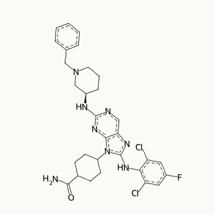 NC(=O)C1CCC(n2c(Nc3c(Cl)cc(F)cc3Cl)nc3cnc(N[C@@H]4CCCN(Cc5ccccc5)C4)nc32)CC1